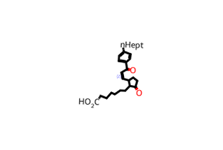 CCCCCCCc1ccc(C(=O)/C=C\C2CCC(=O)C2CCCCCCC(=O)O)cc1